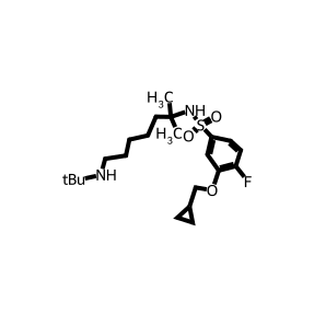 CC(C)(C)NCCCCCC(C)(C)NS(=O)(=O)c1ccc(F)c(OCC2CC2)c1